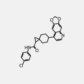 O=C(Nc1ccc(Cl)cc1)C1CC12CCC(c1ccnc3cc4c(cc13)OCO4)CC2